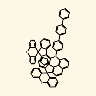 c1ccc(-c2ccc(-c3ccc(N(c4cccc5c4-c4ccccc4C54c5ccccc5Oc5ccccc54)c4cccc5ccc6c(c45)-c4ccccc4C64c5ccccc5Sc5ccccc54)cc3)cc2)cc1